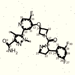 Cc1c(C(N)=O)nn(C)c1-c1cc(OC2CN(C(=O)N3N=CCC3c3cc(F)cc(F)c3)C2)c(F)cn1